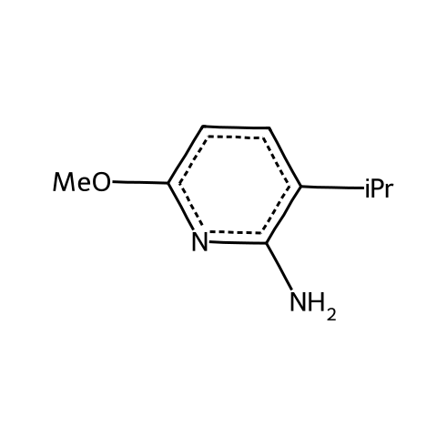 COc1ccc(C(C)C)c(N)n1